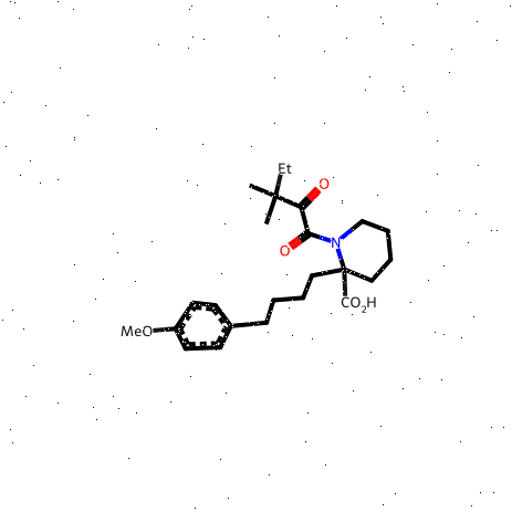 CCC(C)(C)C(=O)C(=O)N1CCCCC1(CCCCc1ccc(OC)cc1)C(=O)O